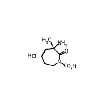 C[C@]1(N)CCCCN(C(=O)O)C1=O.Cl